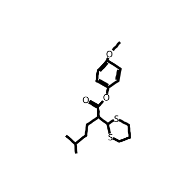 COc1ccc(OC(=O)C(CCC(C)C)C2SCCCS2)cc1